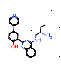 CC[C@@H](N)CNc1nc(-c2cc(-c3ccncc3)ccc2O)nc2ccccc12